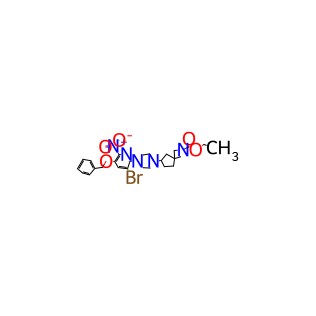 CCOC(=O)N1CC2(CC[C@@H](N3CCN(c4nc([N+](=O)[O-])c(OCc5ccccc5)cc4Br)CC3)C2)C1